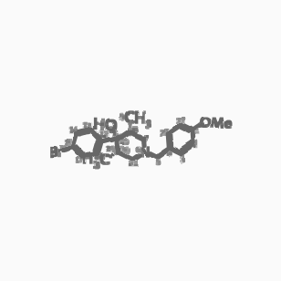 COc1ccc(CN2C[C@@H](C)[C@](O)(c3ccc(Br)cc3)[C@@H](C)C2)cc1